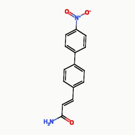 NC(=O)C=Cc1ccc(-c2ccc([N+](=O)[O-])cc2)cc1